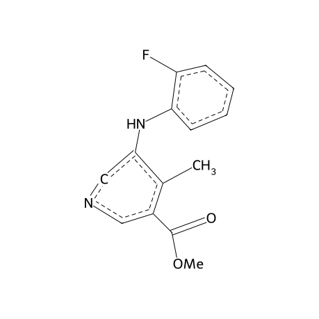 COC(=O)c1cncc(Nc2ccccc2F)c1C